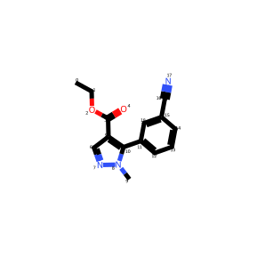 CCOC(=O)c1cnn(C)c1-c1cccc(C#N)c1